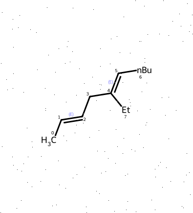 C/C=C/C/C(=C/CCCC)CC